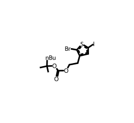 CCCCC(C)(C)OC(=O)OCCc1cc(I)sc1Br